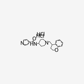 Cl.Cl.O=C(NC1CCN(CC2CCOc3ccccc32)CC1)c1ccncc1